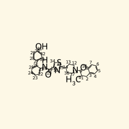 CC(Cc1ccccc1)C(=O)N1CCC(c2nc(C(=O)Nc3ccccc3-c3ccc(O)cc3)cs2)CC1